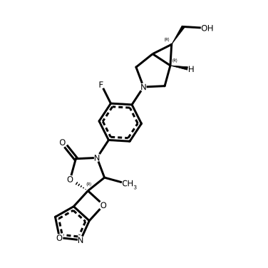 CC1N(c2ccc(N3CC4[C@@H](CO)[C@@H]4C3)c(F)c2)C(=O)O[C@@]12Oc1nocc12